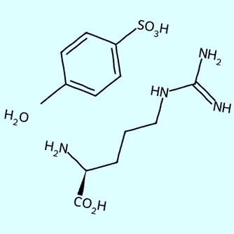 Cc1ccc(S(=O)(=O)O)cc1.N=C(N)NCCC[C@H](N)C(=O)O.O